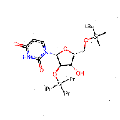 CC(C)[Si](O[C@@H]1[C@@H](O)[C@@H](CO[Si](C)(C)C(C)(C)C)O[C@H]1n1ccc(=O)[nH]c1=O)(C(C)C)C(C)C